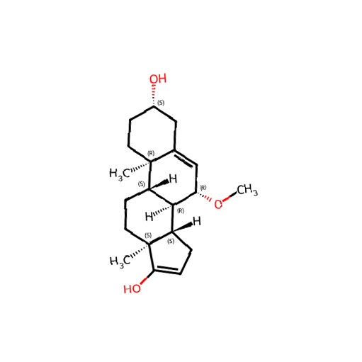 CO[C@H]1C=C2C[C@@H](O)CC[C@]2(C)[C@H]2CC[C@]3(C)C(O)=CC[C@H]3[C@H]12